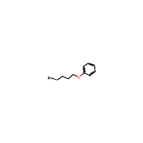 CCC(C)CCCCOc1ccccc1